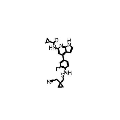 N#CCC1(CSNc2ccc(-c3cc(NC(=O)C4CC4)nc4[nH]ccc34)cc2F)CC1